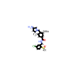 CC[S+]([O-])c1ccc(Cl)cc1CNC(=O)c1cc(OC)c(CN2CCC(N)C2)c(C(F)(F)F)c1